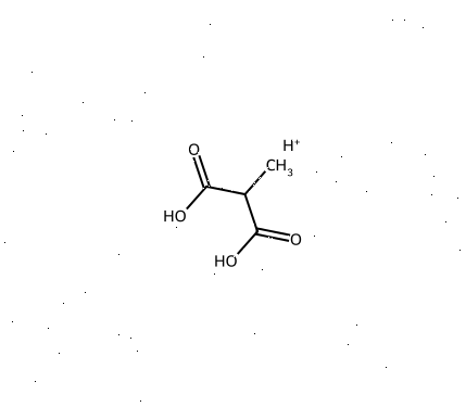 CC(C(=O)O)C(=O)O.[H+]